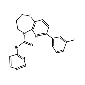 O=C(Nc1ccncn1)N1CCCOc2ccc(-c3cccc(F)c3)nc21